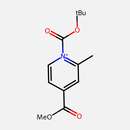 COC(=O)c1cc[n+](C(=O)OC(C)(C)C)c(C)c1